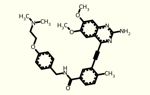 COc1cc2nc(N)nc(C#Cc3cc(C(=O)NCc4ccc(OCCN(C)C)cc4)ccc3C)c2cc1OC